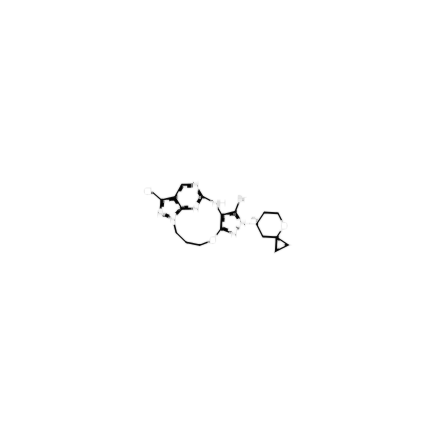 Clc1nn2c3nc(ncc13)Nc1c(nn([C@@H]3CCOC4(CC4)C3)c1Br)OCCC2